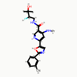 CC(C)Nc1cc(-c2cnc(-c3cccc(C#N)c3)o2)ncc1C(=O)NCC(F)C(C)(C)O